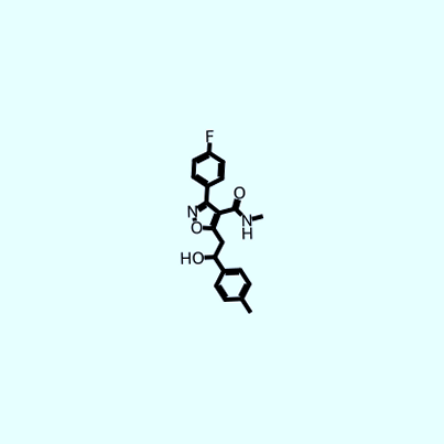 CNC(=O)c1c(-c2ccc(F)cc2)noc1CC(O)c1ccc(C)cc1